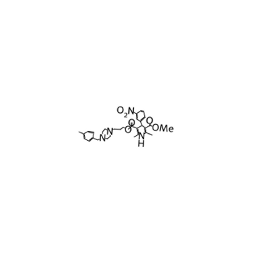 COC(=O)C1=C(C)NC(C)=C(C(=O)OCCCN2CCN(Cc3ccc(C)cc3)CC2)C1c1cccc([N+](=O)[O-])c1